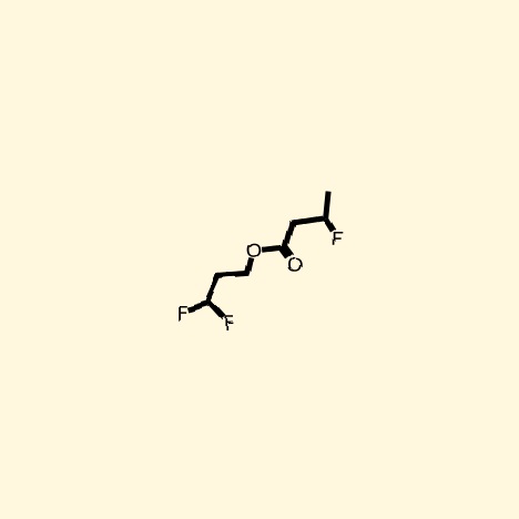 CC(F)CC(=O)OCCC(F)F